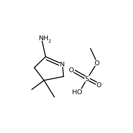 CC1(C)CN=C(N)C1.COS(=O)(=O)O